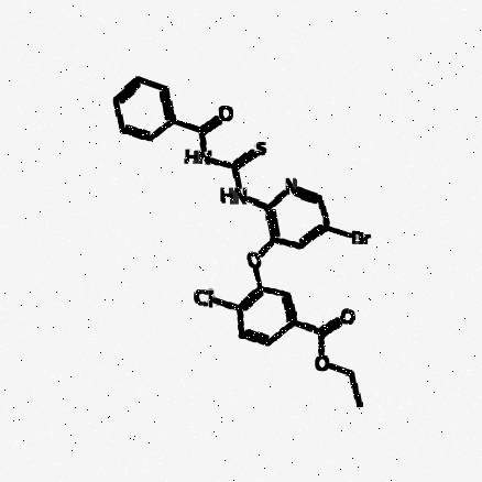 CCOC(=O)c1ccc(Cl)c(Oc2cc(Br)cnc2NC(=S)NC(=O)c2ccccc2)c1